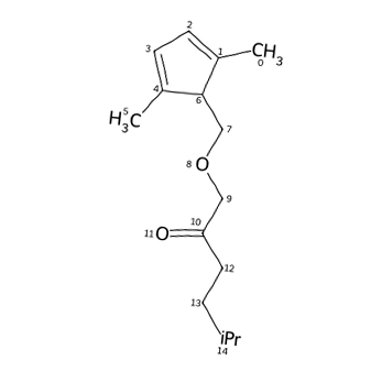 CC1=CC=C(C)C1COCC(=O)CCC(C)C